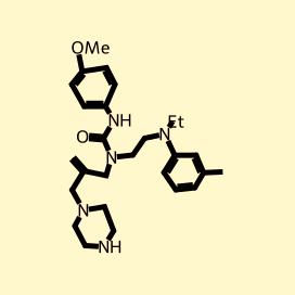 C=C(CN1CCNCC1)CN(CCN(CC)c1cccc(C)c1)C(=O)Nc1ccc(OC)cc1